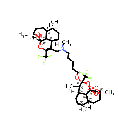 C[C@@H]1CC[C@H]2[C@@H](C)[C@](OCCCCCN(C)CC3=C(C(F)(F)F)O[C@@H]4O[C@]5(C)CC[C@H]6[C@H](C)CC[C@@H]3[C@@]46OO5)(C(F)(F)F)O[C@@H]3O[C@]4(C)CC[C@@H]1[C@]32OO4